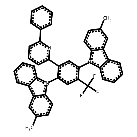 Cc1ccc2c(c1)c1ccccc1n2-c1cc(C(F)(F)F)c(-n2c3ccccc3c3cc(C)ccc32)cc1-c1cccc(-c2ccccc2)n1